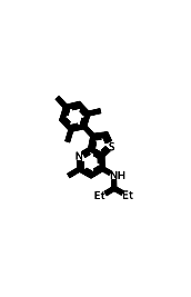 CCC(CC)Nc1cc(C)nc2c(-c3c(C)cc(C)cc3C)csc12